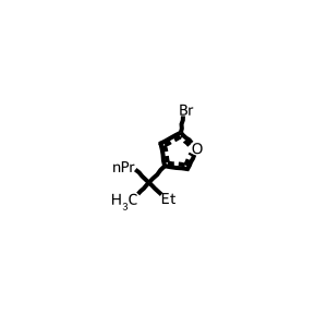 CCCC(C)(CC)c1coc(Br)c1